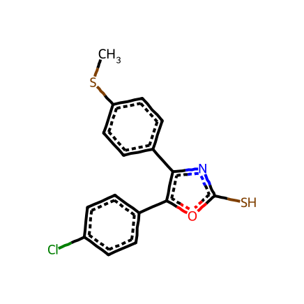 CSc1ccc(-c2nc(S)oc2-c2ccc(Cl)cc2)cc1